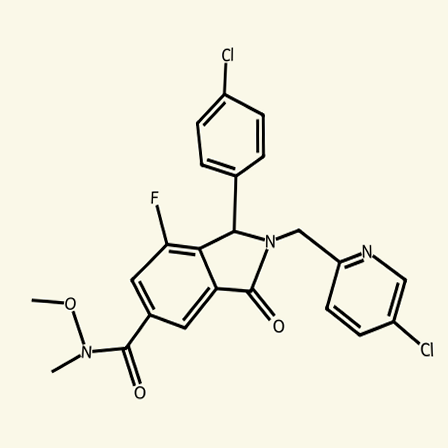 CON(C)C(=O)c1cc(F)c2c(c1)C(=O)N(Cc1ccc(Cl)cn1)C2c1ccc(Cl)cc1